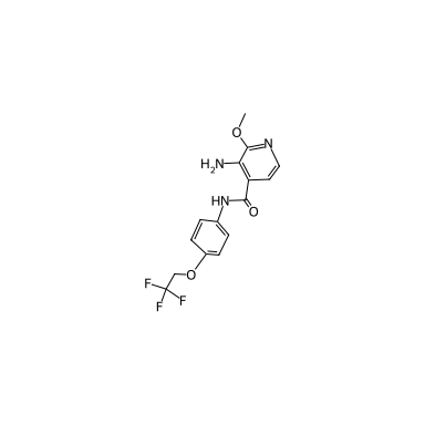 COc1nccc(C(=O)Nc2ccc(OCC(F)(F)F)cc2)c1N